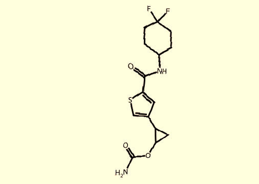 NC(=O)OC1CC1c1csc(C(=O)NC2CCC(F)(F)CC2)c1